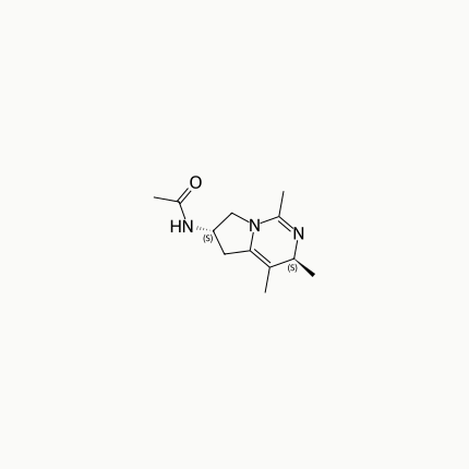 CC(=O)N[C@H]1CC2=C(C)[C@H](C)N=C(C)N2C1